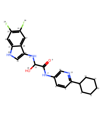 O=C(Nc1ccc(C2CCCCC2)nc1)C(O)Nc1c[nH]c2cc(F)c(F)cc12